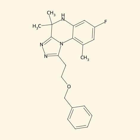 Cc1cc(F)cc2c1-n1c(CCOCc3ccccc3)nnc1C(C)(C)N2